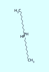 CCCCCCCCCCCPPCCCCCCCCCCC